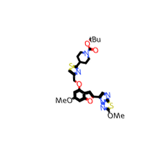 COc1cc(OCc2csc(C3CCN(C(=O)OC(C)(C)C)CC3)n2)c2cc(-c3cnc4sc(OC)nn34)oc2c1